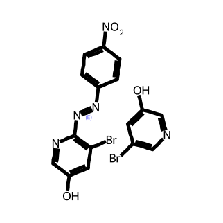 O=[N+]([O-])c1ccc(/N=N/c2ncc(O)cc2Br)cc1.Oc1cncc(Br)c1